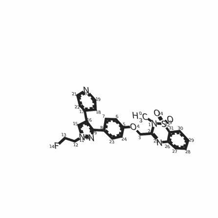 CN1C(COc2ccc(-c3nn(CCF)cc3-c3ccncc3)cc2)=Nc2ccccc2S1(=O)=O